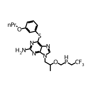 CCCOc1cccc(Sc2nc(N)nc3c2ncn3CC(C)OCPCC(F)(F)F)c1